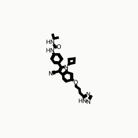 CC(C)NC(=O)Nc1ccc(-c2c(C#N)c3ccc(OCCCc4ncn[nH]4)cc3n2C2CCC2)cc1